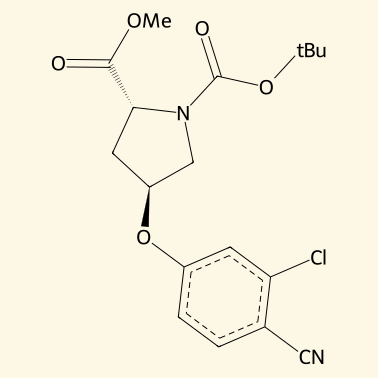 COC(=O)[C@H]1C[C@H](Oc2ccc(C#N)c(Cl)c2)CN1C(=O)OC(C)(C)C